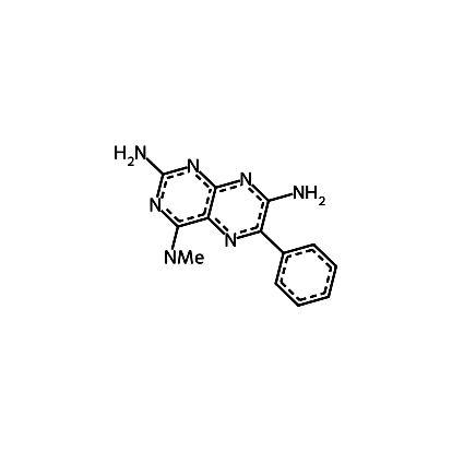 CNc1nc(N)nc2nc(N)c(-c3ccccc3)nc12